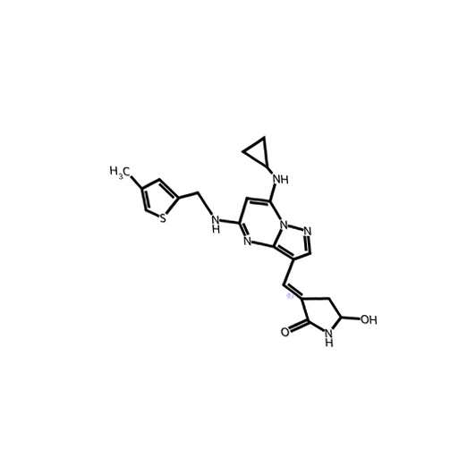 Cc1csc(CNc2cc(NC3CC3)n3ncc(/C=C4\CC(O)NC4=O)c3n2)c1